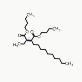 CCCCCCCCCC/C(C(=O)OCCCC)=C(\CC)C(=O)OCCCC